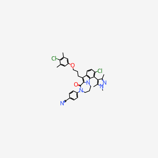 Cc1cc(OCCCc2c3n(c4c(-c5c(C)nn(C)c5C)c(Cl)ccc24)CCCN(c2ccc(C#N)cc2)C3=O)cc(C)c1Cl